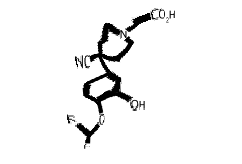 N#CC1(c2ccc(OC(F)F)c(O)c2)CCN(CC(=O)O)CC1